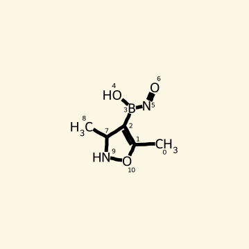 CC1=C(B(O)N=O)C(C)NO1